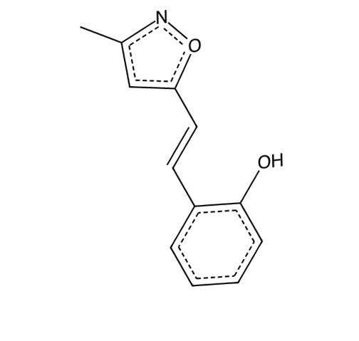 Cc1cc(C=Cc2ccccc2O)on1